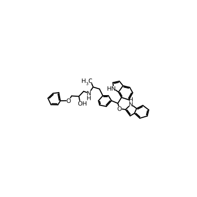 CC(Cc1cccc(C(Oc2cc3ccccc3[nH]2)c2cccc3cc[nH]c23)c1)NCC(O)COc1ccccc1